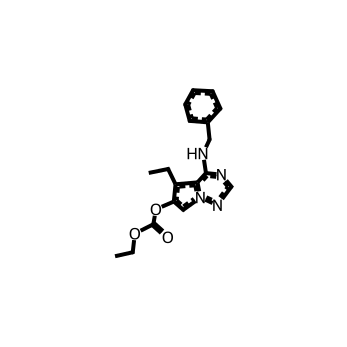 CCOC(=O)Oc1cn2ncnc(NCc3ccccc3)c2c1CC